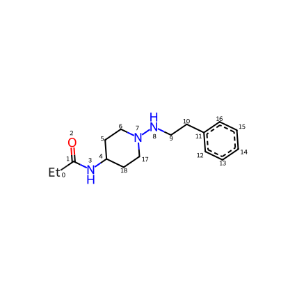 CCC(=O)NC1CCN(NCCc2ccccc2)CC1